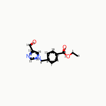 CCOC(=O)c1ccc(Cn2cnc(C=O)c2)cc1